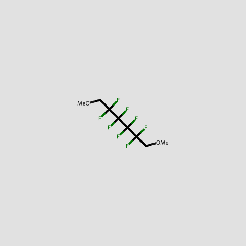 COCC(F)(F)C(F)(F)C(F)(F)C(F)(F)COC